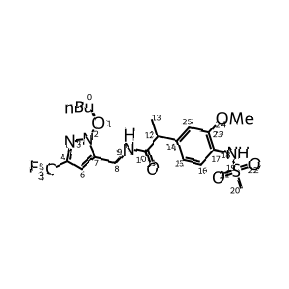 CCCCOn1nc(C(F)(F)F)cc1CNC(=O)C(C)c1ccc(NS(C)(=O)=O)c(OC)c1